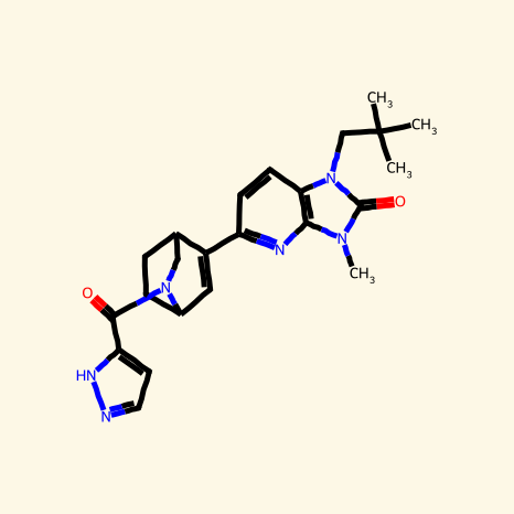 Cn1c(=O)n(CC(C)(C)C)c2ccc(C3=CC4CCC3CN4C(=O)c3ccn[nH]3)nc21